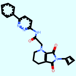 O=C(CN1CCCC2=C1C(=O)N(C1=CC=C1)C2=O)Nc1ccc(-c2ccccc2)nn1